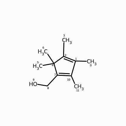 CC1=C(C)C(C)(C)C(CO)=C1C